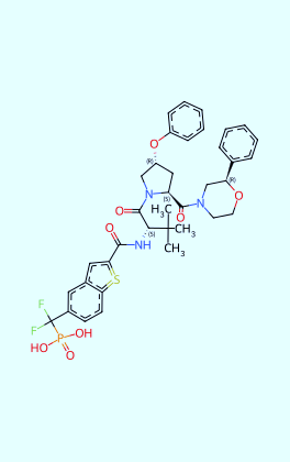 CC(C)(C)[C@H](NC(=O)c1cc2cc(C(F)(F)P(=O)(O)O)ccc2s1)C(=O)N1C[C@H](Oc2ccccc2)C[C@H]1C(=O)N1CCO[C@H](c2ccccc2)C1